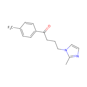 Cc1nccn1CCCC(=O)c1ccc(C(F)(F)F)cc1